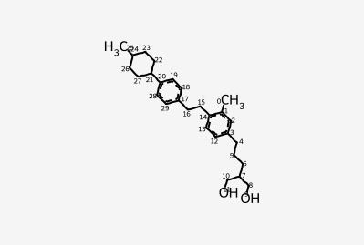 Cc1cc(CCCC(CO)CO)ccc1CCc1ccc(C2CCC(C)CC2)cc1